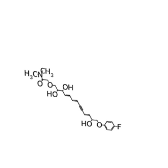 CN(C)C(=O)COCC(O)C(O)C=CC=CC#CC=CC(O)COc1ccc(F)cc1